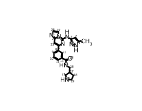 Cc1cc(Nc2nc(-c3cccc(C(=O)NCC4CCNC4)c3)cc3nccn23)n[nH]1